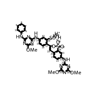 COc1nc(Nc2ccccc2)nc(Nc2ccc(C=Cc3ccc(Nc4nc(OC)nc(OC)n4)cc3S(=O)(=O)[O-])c(S(=O)(=O)O)c2)n1.[H+].[KH]